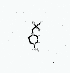 NN1CCN(CC(F)(F)F)CC1